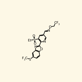 CCS(=O)(=O)c1cc(/C=N/OCC(F)(F)F)cnc1-c1nc2cc(SC(F)(F)F)ccc2o1